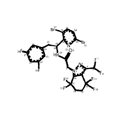 O=C(Cn1nc(C(F)F)c2c1C(F)(F)CCC2(F)F)N[C@@H](Cc1cc(F)cc(F)c1)c1nc(Br)ccc1Br